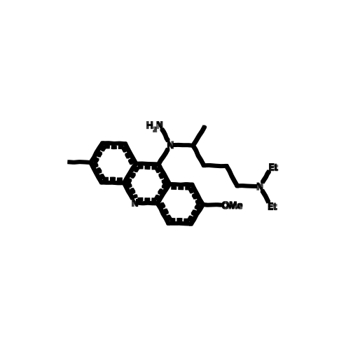 CCN(CC)CCCC(C)N(N)c1c2ccc(C)cc2nc2ccc(OC)cc12